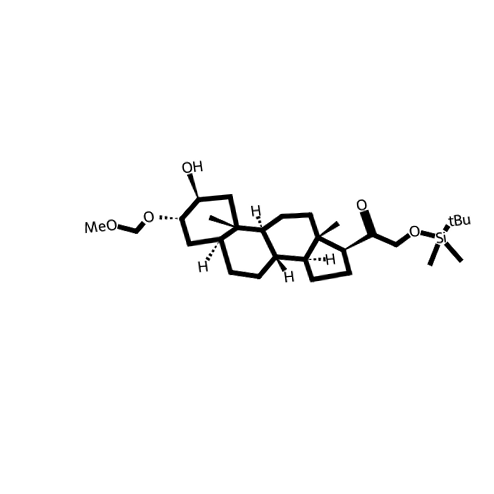 COCO[C@H]1C[C@@H]2CC[C@@H]3[C@H](CC[C@]4(C)[C@@H](C(=O)CO[Si](C)(C)C(C)(C)C)CC[C@@H]34)[C@@]2(C)C[C@@H]1O